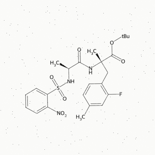 Cc1ccc(C[C@](C)(NC(=O)[C@H](C)NS(=O)(=O)c2ccccc2[N+](=O)[O-])C(=O)OC(C)(C)C)c(F)c1